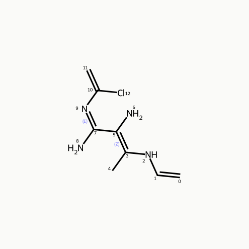 C=CN/C(C)=C(N)/C(N)=N\C(=C)Cl